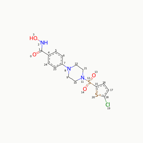 O=C(NO)c1ccc(N2CCN(S(=O)(=O)c3ccc(Cl)s3)CC2)cc1